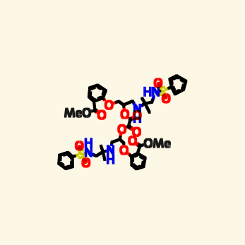 COC(=O)c1ccccc1OCC(CNC(C)(C)CNS(=O)(=O)c1ccccc1)OC(=O)C(=O)OC(CNC(C)(C)CNS(=O)(=O)c1ccccc1)COc1ccccc1C(=O)OC